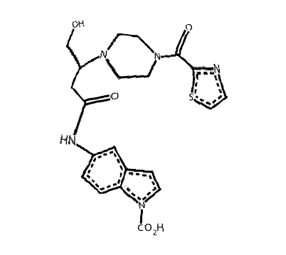 O=C(CC(CO)N1CCN(C(=O)c2nccs2)CC1)Nc1ccc2c(ccn2C(=O)O)c1